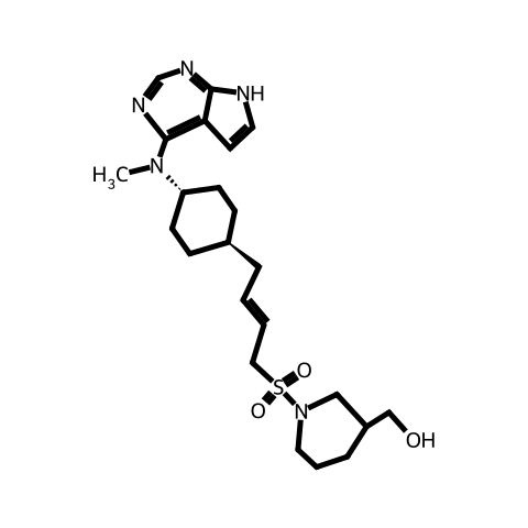 CN(c1ncnc2[nH]ccc12)[C@H]1CC[C@H](CC=CCS(=O)(=O)N2CCCC(CO)C2)CC1